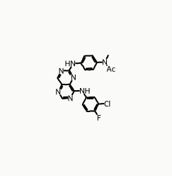 CC(=O)N(C)c1ccc(Nc2ncc3ncnc(Nc4ccc(F)c(Cl)c4)c3n2)cc1